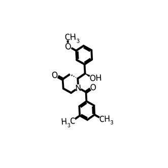 COc1cccc([C@@H](O)[C@H]2CC(=O)CCN2C(=O)c2cc(C)cc(C)c2)c1